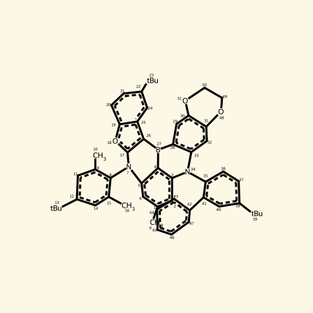 Cc1cc2c3c(c1)N(c1c(C)cc(C(C)(C)C)cc1C)c1oc4ccc(C(C)(C)C)cc4c1B3c1cc3c(cc1N2c1ccc(C(C)(C)C)cc1-c1ccccc1)OCCO3